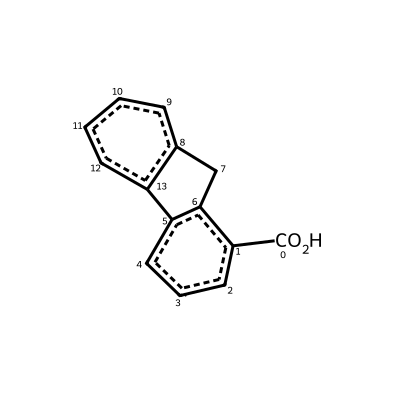 O=C(O)c1c[c]cc2c1Cc1ccccc1-2